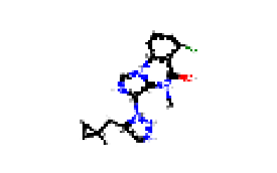 Cn1c(=O)c2c(Cl)cccc2n2cnc(-n3nncc3CC3(C)CC3)c12